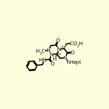 CCCCCCCN1C[C@H]2N(C(=O)CN(C)N2C(=O)NCc2ccccc2)[C@@H](CC(=O)O)C1=O